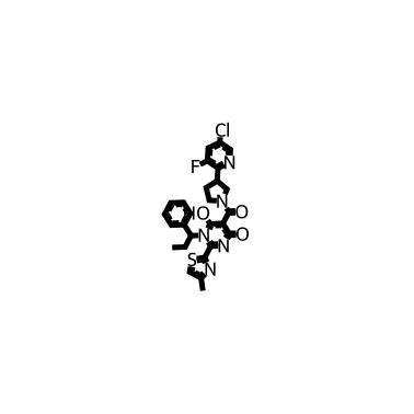 CCC(c1ccccc1)n1c(-c2nc(C)cs2)nc(=O)c(C(=O)N2CCC(c3ncc(Cl)cc3F)C2)c1O